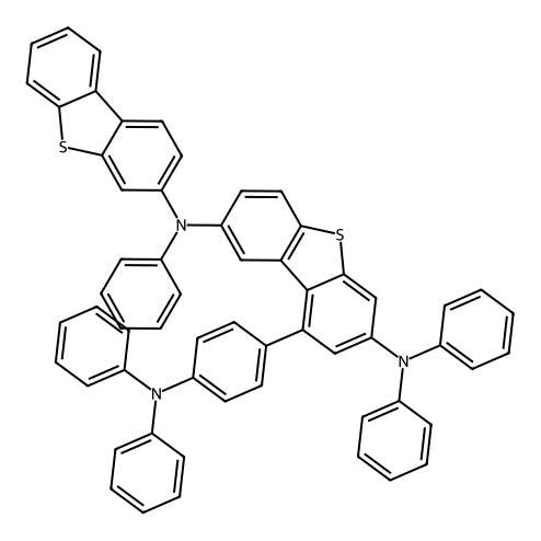 c1ccc(N(c2ccccc2)c2ccc(-c3cc(N(c4ccccc4)c4ccccc4)cc4sc5ccc(N(c6ccccc6)c6ccc7c(c6)sc6ccccc67)cc5c34)cc2)cc1